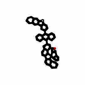 C1=Cc2cc3c(cc2CC1)oc1ccc(-c2c4ccccc4c(-c4ccc5c6c(ccc5c4)-c4ccc5ccccc5c4C64c5ccccc5-c5ccccc54)c4ccccc24)cc13